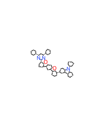 c1ccc(-c2cc(-c3ccccc3)nc(-c3cccc4c3oc3cc5oc6c(-c7ccc8c(c7)c7ccccc7n8-c7ccccc7)cccc6c5cc34)n2)cc1